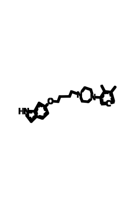 Cc1cccc(N2CCN(CCCCOc3ccc4cc[nH]c4c3)CC2)c1C